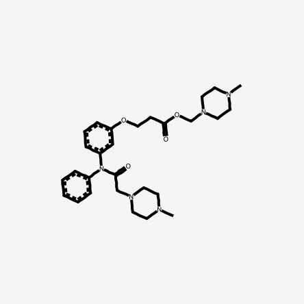 CN1CCN(COC(=O)CCOc2cccc(N(C(=O)CN3CCN(C)CC3)c3ccccc3)c2)CC1